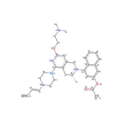 C[C@@H]1Cc2c(nc(OCCN(C)C)nc2N2CCN(C=CC=O)CC2)CN1c1cc(OC(=O)C(F)(F)F)cc2ccccc12